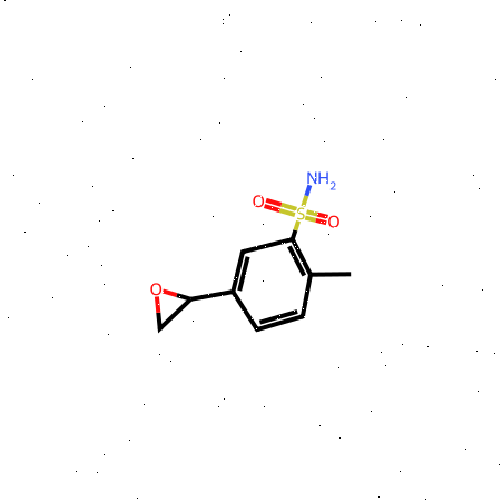 Cc1ccc(C2CO2)cc1S(N)(=O)=O